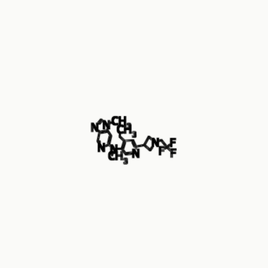 CCc1cc(C2CN(CC(F)(F)F)C2)ncc1N(C)c1cc2c(cn1)ncn2C